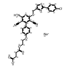 N#Cc1c(N)nc(SCc2csc(-c3ccc(Cl)cc3)n2)c(C#N)c1-c1ccc(OCCOC(=O)CCC(=O)[O-])cc1.[Na+]